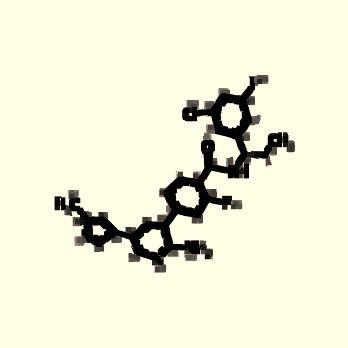 CC[C@@H](NC(=O)c1ccc(-c2cc(-c3cnn(C)c3)cnc2N)cc1F)c1cc(F)cc(Cl)c1